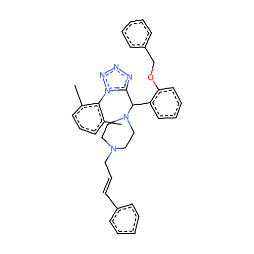 Cc1cccc(C)c1-n1nnnc1C(c1ccccc1OCc1ccccc1)N1CCN(CC=Cc2ccccc2)CC1